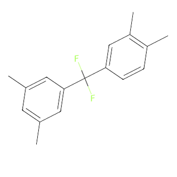 Cc1cc(C)cc(C(F)(F)c2ccc(C)c(C)c2)c1